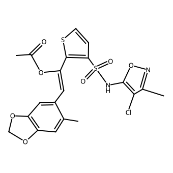 CC(=O)OC(=Cc1cc2c(cc1C)OCO2)c1sccc1S(=O)(=O)Nc1onc(C)c1Cl